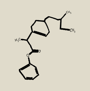 CCC(C)CC1CC=C(C(C)C(=O)Oc2ccccc2)CC1